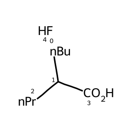 CCCCC(CCC)C(=O)O.F